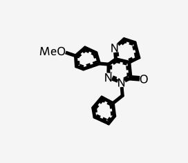 COc1ccc(-c2nn(Cc3ccccc3)c(=O)c3cccnc23)cc1